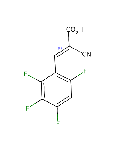 N#C/C(=C\c1c(F)cc(F)c(F)c1F)C(=O)O